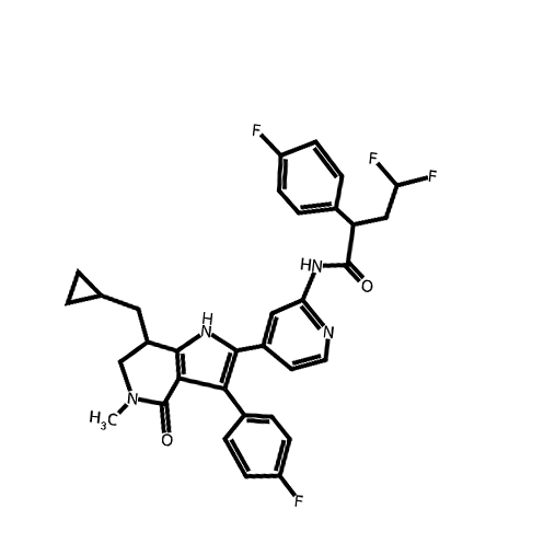 CN1CC(CC2CC2)c2[nH]c(-c3ccnc(NC(=O)C(CC(F)F)c4ccc(F)cc4)c3)c(-c3ccc(F)cc3)c2C1=O